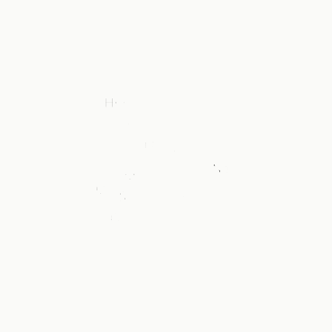 C=O.CC(C)O.O=S(=O)([O-])c1cccc2ccccc12.[Na+]